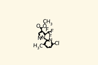 COC(=O)c1cnn(-c2nc(Cl)ccc2C)c1C(F)(F)F